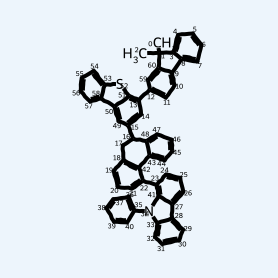 CC1(C)c2ccccc2-c2ccc(-c3cc(C4Cc5cccc(-c6cccc7c8ccccc8n(-c8ccccc8)c67)c5-c5ccccc54)cc4c3sc3ccccc34)cc21